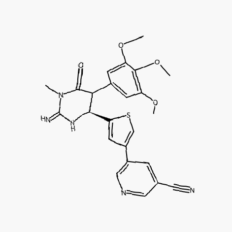 COc1cc(C2C(=O)N(C)C(=N)N[C@@H]2c2cc(-c3cncc(C#N)c3)cs2)cc(OC)c1OC